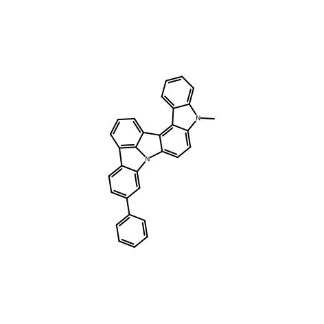 Cn1c2ccccc2c2c3c4cccc5c6ccc(-c7ccccc7)cc6n(c3ccc21)c54